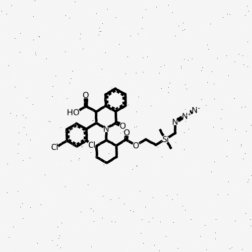 C[Si](C)(CCOC(=O)C1CCCCC1N1C(=O)c2ccccc2C(C(=O)O)C1c1ccc(Cl)cc1Cl)CN=[N+]=[N-]